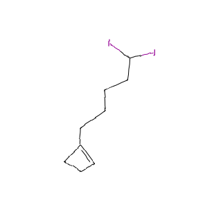 IC(I)CCCCC1=CCC1